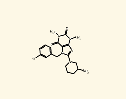 Cn1c(=O)c2c(nc(N3CCCC(N)C3)n2Cc2cccc(Br)c2)n(C)c1=O